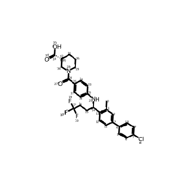 Cc1cc(-c2ccc(Cl)cc2)ccc1C(CCC(F)(F)F)Nc1ccc(C(=O)N2CCC[C@@H](C(=O)O)C2)cc1